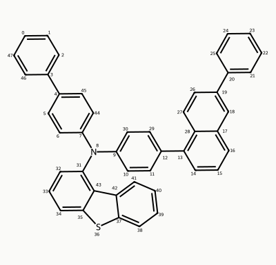 c1ccc(-c2ccc(N(c3ccc(-c4cccc5cc(-c6ccccc6)ccc45)cc3)c3cccc4sc5ccccc5c34)cc2)cc1